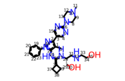 Cc1c(-c2cnc(N3CCN(C)CC3)nc2)nn(-c2ccccc2)c1NC(N[C@@H](CO)CNCCO)=C1CCC1